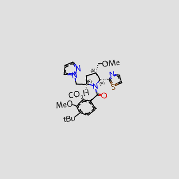 COC[C@H]1C[C@@](Cn2cccn2)(C(=O)O)N(C(=O)c2ccc(C(C)(C)C)c(OC)c2)[C@H]1c1nccs1